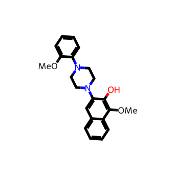 COc1ccccc1N1CCN(c2cc3ccccc3c(OC)c2O)CC1